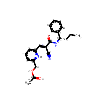 CCC[C@H](NC(=O)/C(C#N)=C/c1cccc(COC(C)=O)n1)c1ccccc1